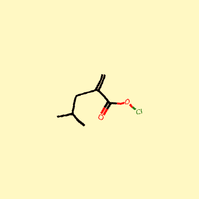 C=C(CC(C)C)C(=O)OCl